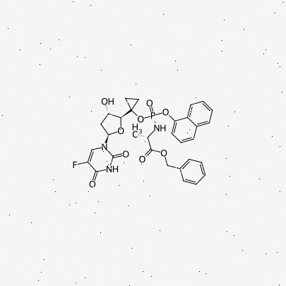 C[C@H](N[P@](=O)(Oc1cccc2ccccc12)OC1([C@H]2O[C@@H](n3cc(F)c(=O)[nH]c3=O)C[C@@H]2O)CC1)C(=O)OCc1ccccc1